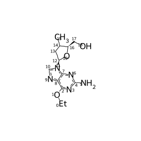 CCOc1nc(N)nc2c1ncn2[C@H]1CC(C)[C@@H](CO)O1